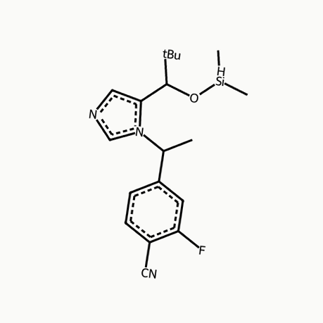 CC(c1ccc(C#N)c(F)c1)n1cncc1C(O[SiH](C)C)C(C)(C)C